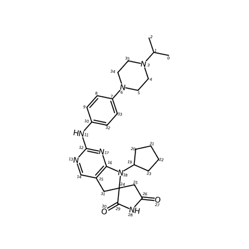 CC(C)N1CCN(c2ccc(Nc3ncc4c(n3)N(C3CCCC3)C3(CC(=O)NC3=O)C4)cc2)CC1